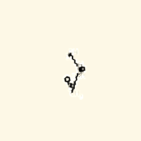 CCCN(CCCC(=O)NC[C@@H]1[C@H](CCCCCCC(=O)O)[C@@H]2CC[C@H]1O2)S(=O)(=O)Cc1ccccc1